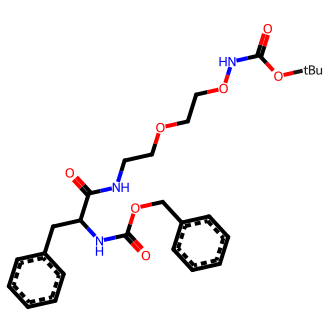 CC(C)(C)OC(=O)NOCCOCCNC(=O)C(Cc1ccccc1)NC(=O)OCc1ccccc1